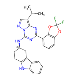 CC(C)c1cnn2c(N[C@@H]3CCc4[nH]c5ccccc5c4C3)nc(-c3cccc4c3OC(F)(F)O4)nc12